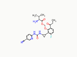 CCC(=O)c1ccc(F)c(C2CC2NC(=O)Nc2ccc(C#N)cn2)c1OCOC(=O)[C@@H](N)C(C)C